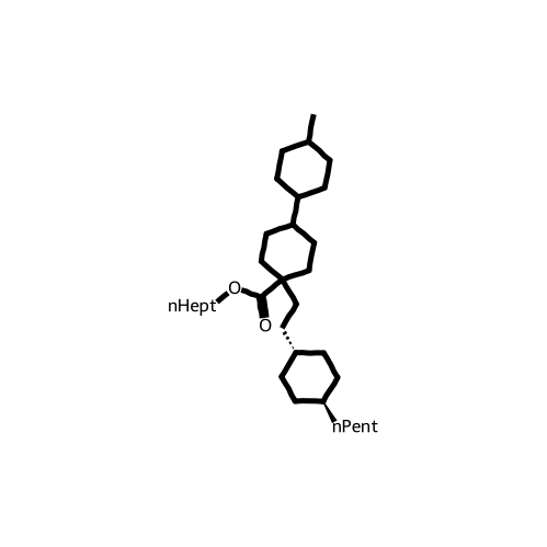 CCCCCCCOC(=O)C1(CC[C@H]2CC[C@H](CCCCC)CC2)CCC(C2CCC(C)CC2)CC1